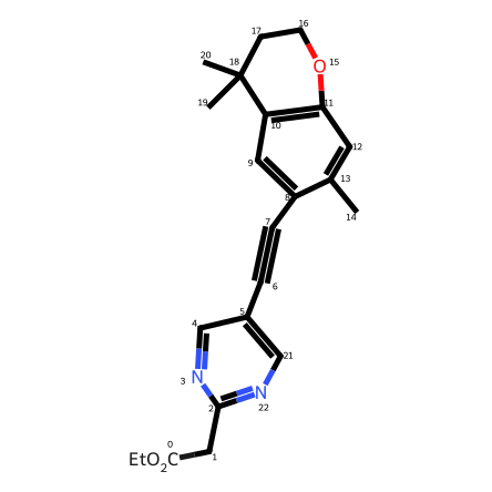 CCOC(=O)Cc1ncc(C#Cc2cc3c(cc2C)OCCC3(C)C)cn1